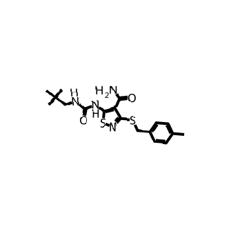 Cc1ccc(CSc2nsc(NC(=O)NCC(C)(C)C)c2C(N)=O)cc1